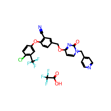 N#Cc1cc(COc2ccn(Cc3ccncc3)c(=O)n2)ccc1Oc1ccc(Cl)c(C(F)(F)F)c1.O=C(O)C(F)(F)F